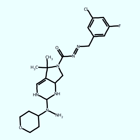 CC1(C)C2=CNC(N(N)C3CCOCC3)NC2CN1C(=O)N=NCc1cc(F)cc(Cl)c1